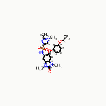 Cc1nc(S(=O)(=O)Nc2cc3c(cc2Oc2cccc(OCC(F)(F)F)c2)n(C)c(=O)n3C)cn1C